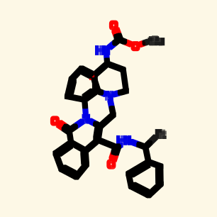 CCC(NC(=O)c1c(CN2CCC(NC(=O)OC(C)(C)C)CC2)n(-c2ccccc2)c(=O)c2ccccc12)c1ccccc1